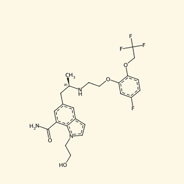 C[C@H](Cc1cc(C(N)=O)c2c(ccn2CCO)c1)NCCOc1cc(F)ccc1OCC(F)(F)F